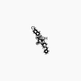 O=C1CN(S(=O)(=O)c2ccc3cc(Cl)ccc3c2)CC2(CO)OC3(CCN(Cc4ccccc4)CC3)CN12